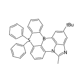 Cc1nc2cc(C(C)(C)C)cc3c2n1-c1cccc2c1B3c1ccccc1S2(c1ccccc1)c1ccccc1